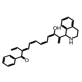 C=C\C(=C/C=C\C=C/C=C(/O)C(=C)C1NCCc2ccccc21)C(=O)c1ccccc1